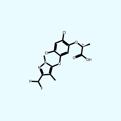 Cc1c(C(F)F)nn(C)c1Oc1cc(O[C@@H](C)C(=O)O)c(Cl)cc1Cl